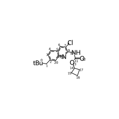 CC(C)(C)Cc1ccc2cc(Cl)c(NC(=O)OC3CCC3)nc2c1